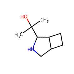 CC(C)(O)C1NCC2CCC21